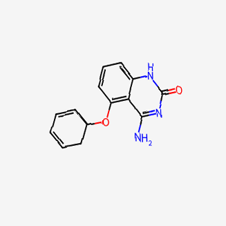 Nc1nc(=O)[nH]c2cccc(OC3C=CC=CC3)c12